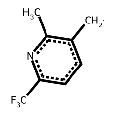 [CH2]c1ccc(C(F)(F)F)nc1C